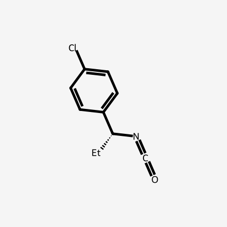 CC[C@@H](N=C=O)c1ccc(Cl)cc1